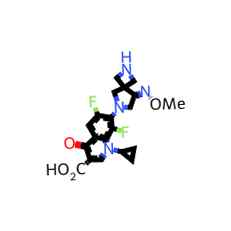 CON=C1CN(c2c(F)cc3c(=O)c(C(=O)O)cn(C4CC4)c3c2F)CC12CNC2